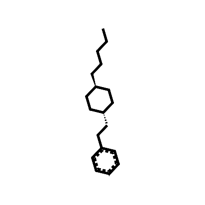 CCCCC[C@H]1CC[C@H](CCc2cc[c]cc2)CC1